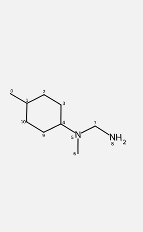 CC1CCC(N(C)CN)CC1